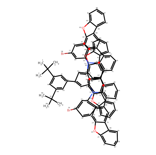 CC(C)(C)c1cc(-c2cc(N(c3cccc(Br)c3)c3c(-c4ccc5oc6ccccc6c5c4)cccc3-c3ccc4oc5ccccc5c4c3)cc(N(c3cccc(Br)c3)c3c(-c4ccc5oc6ccccc6c5c4)cccc3-c3ccc4oc5ccccc5c4c3)c2)cc(C(C)(C)C)c1